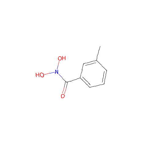 Cc1cccc(C(=O)N(O)O)c1